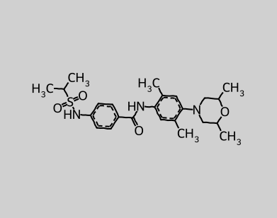 Cc1cc(N2CC(C)OC(C)C2)c(C)cc1NC(=O)c1ccc(NS(=O)(=O)C(C)C)cc1